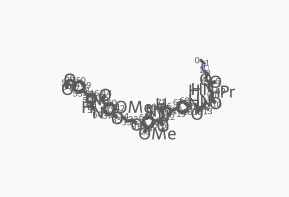 C/C=C/COC(=O)N[C@H](C(=O)N[C@@H](C)C(=O)Nc1ccc(C2=CN3C(=O)c4cc(OC)c(OCCCOc5cc6c(cc5OC)C(=O)N5C=C(c7ccc8c(c7)OCO8)C[C@H]5C=N6)cc4N=C[C@@H]3C2)cc1)C(C)C